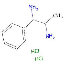 CC(N)C(N)c1ccccc1.Cl.Cl